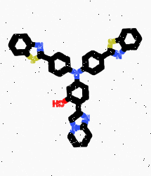 Oc1cc(N(c2ccc(-c3nc4ccccc4s3)cc2)c2ccc(-c3nc4ccccc4s3)cc2)ccc1-c1cn2ccccc2n1